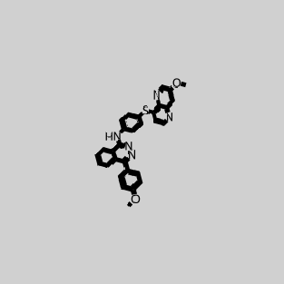 COc1ccc(-c2nnc(Nc3ccc(Sc4ccnc5cc(OC)cnc45)cc3)c3ccccc23)cc1